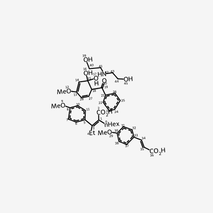 CCCCCCC(C(=O)O)=C(CC)c1ccc(OC)cc1.COC1=CC(O)(O)C(C(=O)c2ccccc2)C=C1.COc1ccc(C=CC(=O)O)cc1.OCCNCCO